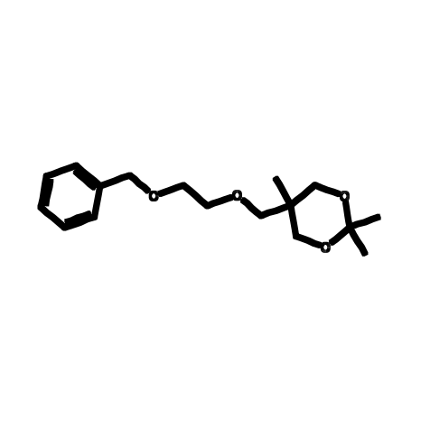 CC1(COCCOCc2ccccc2)COC(C)(C)OC1